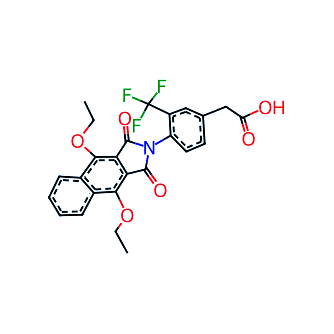 CCOc1c2c(c(OCC)c3ccccc13)C(=O)N(c1ccc(CC(=O)O)cc1C(F)(F)F)C2=O